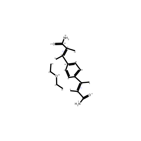 C/C(C(N)=O)=C(/C)c1ccc(/C(C)=C(\C)C(N)=O)cc1.CCOCC